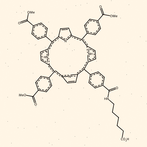 COC(=O)c1ccc(-c2c3nc(c(-c4ccc(C(=O)OC)cc4)c4ccc([nH]4)c(-c4ccc(C(=O)OC)cc4)c4nc(c(-c5ccc(C(=O)NCCCCCC(=O)O)cc5)c5ccc2[nH]5)C=C4)C=C3)cc1